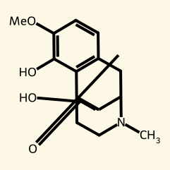 COc1ccc2c(c1O)C13CCN(C)C(C2)C1CCC(=O)C3O